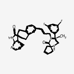 C[C@@]1(c2cc(F)cc(F)c2)CNC2(CCCC2)C(=O)N1CC=Cc1ccc2c(c1)CC1(C2)C(=O)Nc2ncccc21